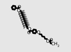 C=CC(=O)OCCCCCCOc1ccc(C(=O)OCC(F)(F)C(F)(F)C(F)(F)C(F)(F)C(F)(F)C(F)(F)C(F)(F)C(F)(F)COC(=O)c2ccccc2)cc1